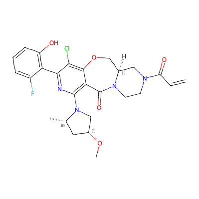 C=CC(=O)N1CCN2C(=O)c3c(N4C[C@H](OC)C[C@@H]4C)nc(-c4c(O)cccc4F)c(Cl)c3OC[C@H]2C1